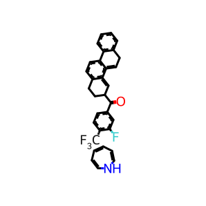 C1=CC=CNC=C1.O=C(c1ccc(C(F)(F)F)c(F)c1)C1C=c2c(ccc3c2=CCc2ccccc2-3)CC1